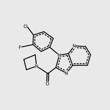 O=C(c1nc2cccnc2n1-c1ccc(Cl)c(F)c1)N1CCC1